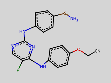 N#CCOc1ccc(Nc2nc(Nc3ccc(SN)cc3)ncc2F)cc1